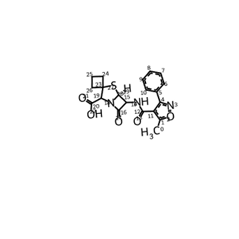 Cc1onc(-c2ccccc2)c1C(=O)NC1C(=O)N2C(C(=O)O)C3(CCC3)S[C@@H]12